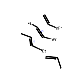 C/C=C/CC.C=CC.C=CCCC.CC/C=C/CCC